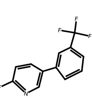 Fc1ccc(-c2cccc(C(F)(F)F)c2)cn1